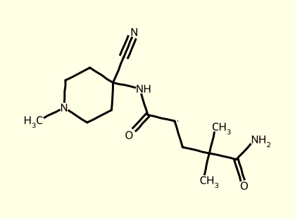 CN1CCC(C#N)(NC(=O)[CH]CC(C)(C)C(N)=O)CC1